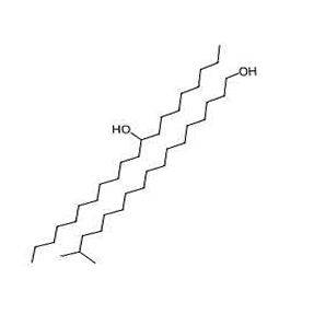 CC(C)CCCCCCCCCCCCCCCO.CCCCCCCCCCCC(O)CCCCCCCC